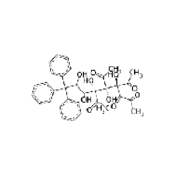 CC(=O)C(=O)[C@@](O)(C(C)=O)[C@](O)(C(C)=O)[C@@](O)(C(C)=O)[C@H](O)C(O)C(c1ccccc1)(c1ccccc1)c1ccccc1